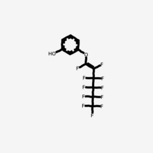 Oc1cccc(OC(F)=C(F)C(F)(F)C(F)(F)C(F)(F)C(F)(F)F)c1